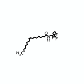 CCCCCCCC/C=C\CCCCCCCC(=O)NCCC1(C(F)(F)F)CCC1